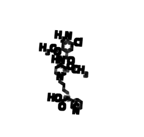 COc1cc(N)c(Cl)cc1C(=O)N[C@@H]1CCN(CCCC[C@@H](C(=O)O)C2CN3CCC2CC3)C[C@@H]1OC